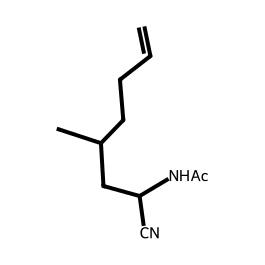 C=CCCC(C)CC(C#N)NC(C)=O